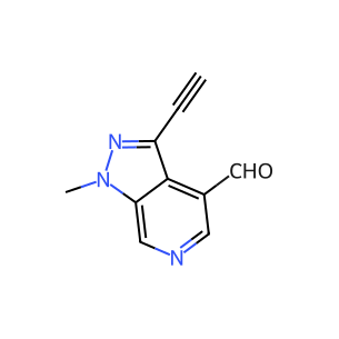 C#Cc1nn(C)c2cncc(C=O)c12